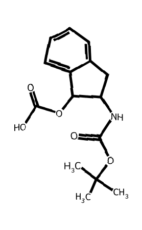 CC(C)(C)OC(=O)NC1Cc2ccccc2C1OC(=O)O